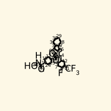 Cc1c(N(Cc2ccc(F)c(C(F)(F)F)c2)S(=O)(=O)c2ccc(C(=O)NO)cc2)sc2ccccc12